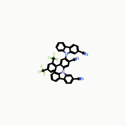 N#Cc1ccc2c3ccccc3n(-c3cc(-c4ccc(C(F)(F)F)cc4C(F)(F)F)c(-n4c5ccccc5c5ccc(C#N)cc54)cc3C#N)c2c1